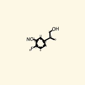 [CH2]C(CO)c1ccc(F)c(C#N)c1